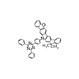 CC1(C)c2ccccc2-c2cc3c4cc5oc6ccccc6c5cc4n(-c4ccc(-c5nc(-c6ccccc6)nc(-c6ccccc6)n5)cc4)c3cc21